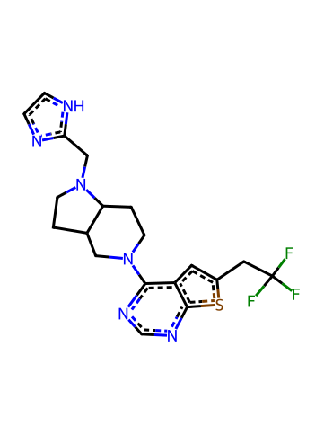 FC(F)(F)Cc1cc2c(N3CCC4C(CCN4Cc4ncc[nH]4)C3)ncnc2s1